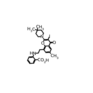 Cc1cc(CCNc2ccccc2C(=O)O)c2oc(N3CCC(C)(C)CC3)c(I)c(=O)c2c1